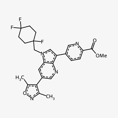 COC(=O)c1ccc(-c2cn(CC3(F)CCC(F)(F)CC3)c3cc(-c4c(C)noc4C)cnc23)cn1